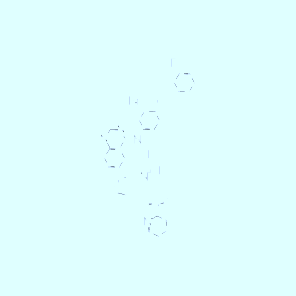 CCC(N(C)CCS(=O)(=O)c1ccccn1)C1(c2cc3c(Nc4ccc(OCc5cccc(F)c5)c(Br)c4)ncnc3cc2F)CC=CO1